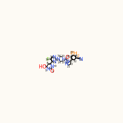 CN1C(=O)N(C)C(O)C=C1c1nc(N2CCN(C(=O)N3N=CCC3c3cc(P)cc(C#N)c3)CC2)ncc1F